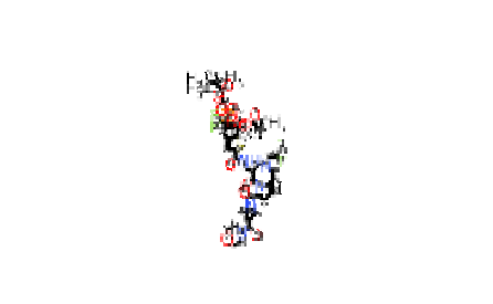 CC(C)(C)C(=O)OCOP(=O)(OCOC(=O)C(C)(C)C)C(F)(F)c1ccc2sc(C(=O)NCC3CN(CC(F)F)CC[C@H]4CC[C@@H](C(=O)N5CC(C(=O)N6CCOCC6)C5)N4C3=O)cc2c1